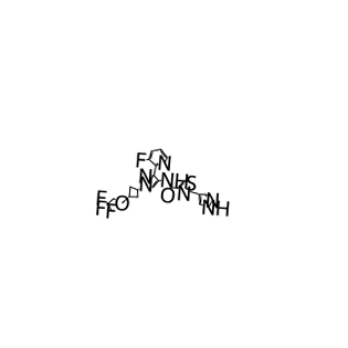 O=C(Nc1cn([C@H]2C[C@H](OCC(F)(F)F)C2)nc1-c1ncccc1F)c1csc(-c2cn[nH]c2)n1